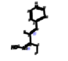 CCC(=N/O)/C(C)=C/c1ccncc1